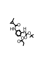 CCC(=O)Oc1ccc(NC(=O)C2CC2C)cc1NC(=O)OC(C)(C)C